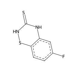 Fc1ccc2c(c1)NC(=S)NS2